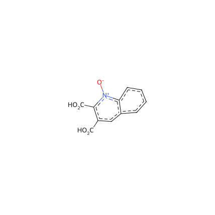 O=C(O)c1cc2ccccc2[n+]([O-])c1C(=O)O